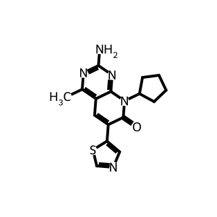 Cc1nc(N)nc2c1cc(-c1cncs1)c(=O)n2C1CCCC1